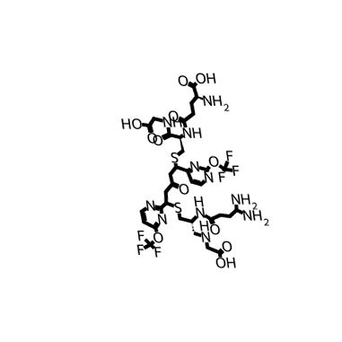 NC(N)CCC(=O)N[C@H](CNCC(=O)O)CSC(CC(=O)CC(SC[C@H](NC(=O)CC[C@H](N)C(=O)O)C(=O)NCC(=O)O)c1ccnc(OC(F)(F)F)n1)c1nccc(OC(F)(F)F)n1